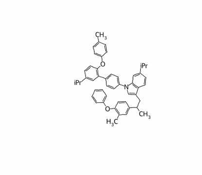 Cc1ccc(Oc2ccc(C(C)C)cc2-c2ccc(-n3cc(CC(C)c4ccc(Oc5ccccc5)c(C)c4)c4ccc(C(C)C)cc43)cc2)cc1